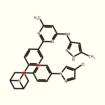 Cc1cc(Nc2cc(C)[nH]n2)nc(-c2ccc(N3CC4CC(C3)N4Cc3ccc(-n4cc(Cl)cn4)cn3)nc2)n1